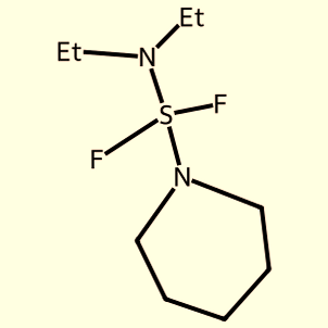 CCN(CC)S(F)(F)N1CCCCC1